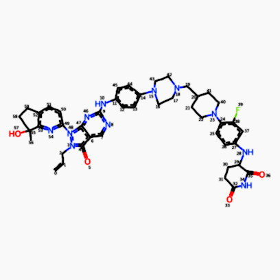 C=CCn1c(=O)c2cnc(Nc3ccc(N4CCN(CC5CCN(c6ccc(NC7CCC(=O)NC7=O)cc6F)CC5)CC4)cc3)nc2n1-c1ccc2c(n1)C(C)(O)CC2